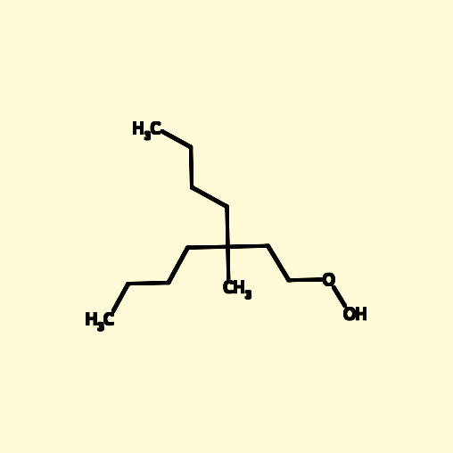 CCCCC(C)(CCCC)CCOO